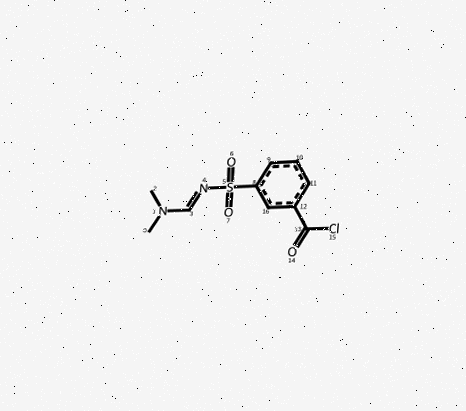 CN(C)C=NS(=O)(=O)c1cccc(C(=O)Cl)c1